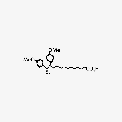 CCC(c1ccc(OC)cc1)C(CCCCCCCCCCC(=O)O)c1ccc(OC)cc1